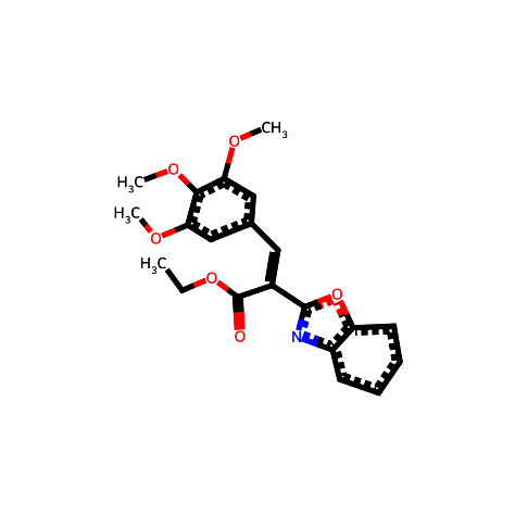 CCOC(=O)C(=Cc1cc(OC)c(OC)c(OC)c1)c1nc2ccccc2o1